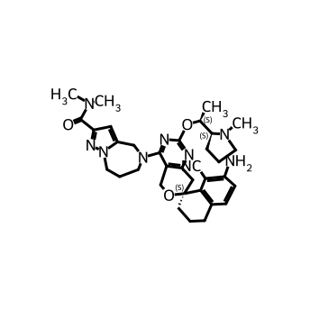 C[C@H](Oc1nc2c(c(N3CCCn4nc(C(=O)N(C)C)cc4C3)n1)CO[C@@]1(CCCc3ccc(N)c(C#N)c31)C2)[C@@H]1CCCN1C